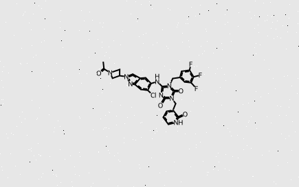 CC(=O)N1CC(n2cc3cc(Nc4nc(=O)n(Cc5ccc[nH]c5=O)c(=O)n4Cc4cc(F)c(F)c(F)c4)c(Cl)cc3n2)C1